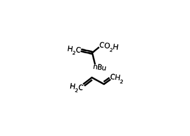 C=C(CCCC)C(=O)O.C=CC=C